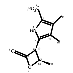 Cc1c(C(=O)O)[nH]c([C@@H]2C(=O)O[C@@H]2C)c1C